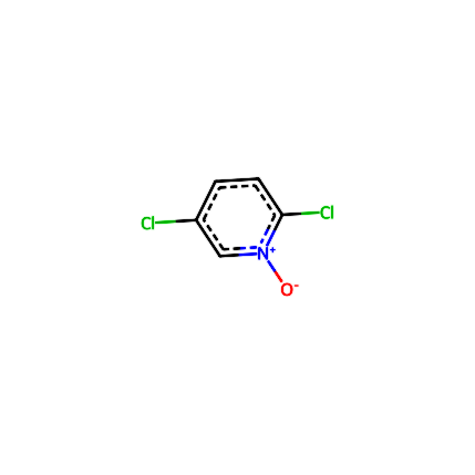 [O-][n+]1cc(Cl)ccc1Cl